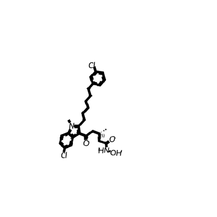 C[C@H](CC(=O)NO)CC(=O)c1c(CCCCCCc2cccc(Cl)c2)n(C)c2ccc(Cl)cc12